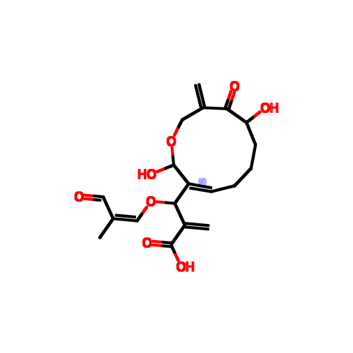 C=C1COC(O)/C(C(OC=C(C)C=O)C(=C)C(=O)O)=C\CCCC(O)C1=O